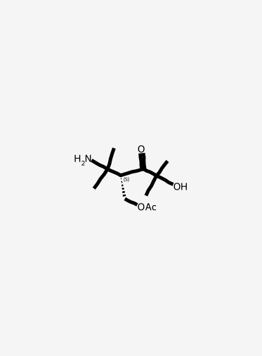 CC(=O)OC[C@@H](C(=O)C(C)(C)O)C(C)(C)N